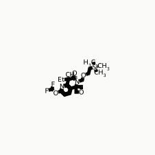 CCC1(C)C(=O)N(COCC[Si](C)(C)C)C2(COC2)c2ccc(OC(F)F)nc21